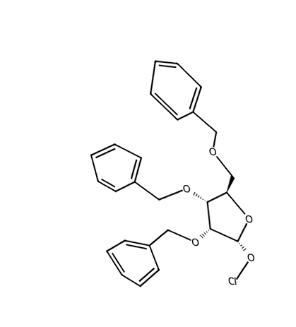 ClO[C@H]1O[C@H](COCc2ccccc2)[C@@H](OCc2ccccc2)[C@H]1OCc1ccccc1